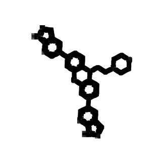 c1cc2c(cc1-c1cnc3[nH]ncc3c1)Oc1cc(-c3cnc4[nH]ncc4c3)ccc1N2CCN1CCOCC1